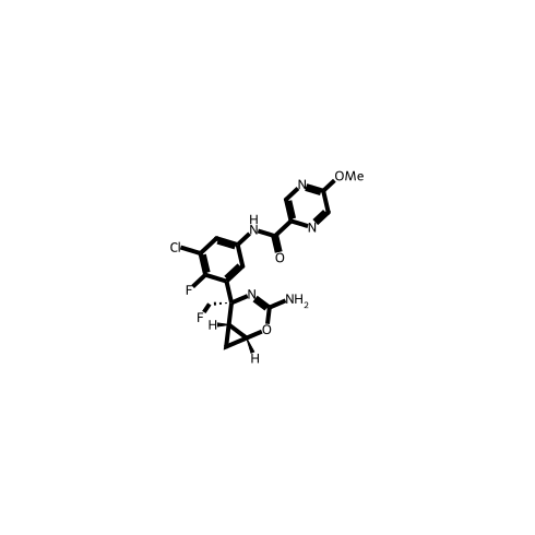 COc1cnc(C(=O)Nc2cc(Cl)c(F)c([C@@]3(CF)N=C(N)O[C@@H]4C[C@@H]43)c2)cn1